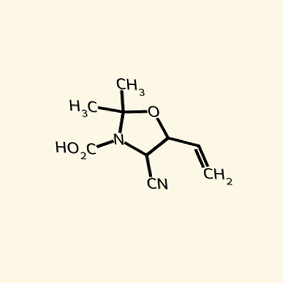 C=CC1OC(C)(C)N(C(=O)O)C1C#N